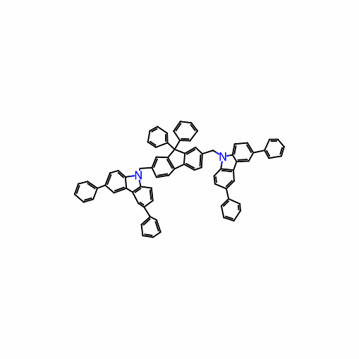 c1ccc(-c2ccc3c(c2)c2cc(-c4ccccc4)ccc2n3Cc2ccc3c(c2)C(c2ccccc2)(c2ccccc2)c2cc(Cn4c5ccc(-c6ccccc6)cc5c5cc(-c6ccccc6)ccc54)ccc2-3)cc1